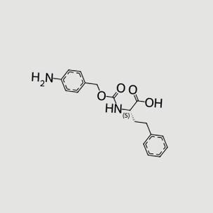 Nc1ccc(COC(=O)N[C@@H](CCc2ccccc2)C(=O)O)cc1